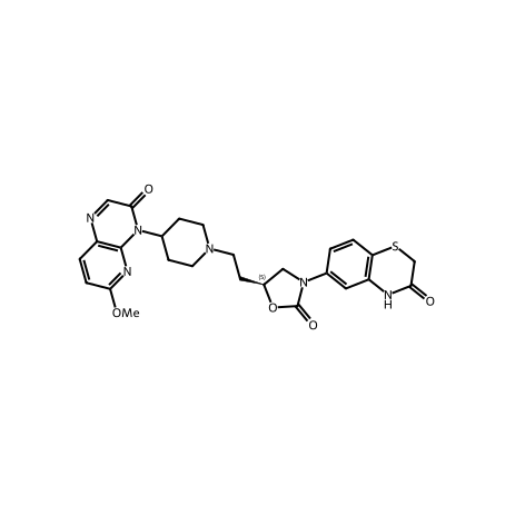 COc1ccc2ncc(=O)n(C3CCN(CC[C@H]4CN(c5ccc6c(c5)NC(=O)CS6)C(=O)O4)CC3)c2n1